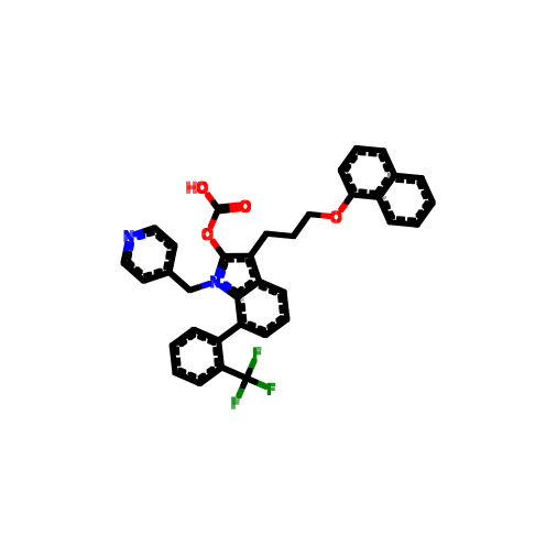 O=C(O)Oc1c(CCCOc2cccc3ccccc23)c2cccc(-c3ccccc3C(F)(F)F)c2n1Cc1ccncc1